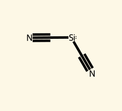 N#C[Si]C#N